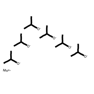 CC(C)[O-].CC(C)[O-].CC(C)[O-].CC(C)[O-].CC(C)[O-].CC(C)[O-].[Mo+6]